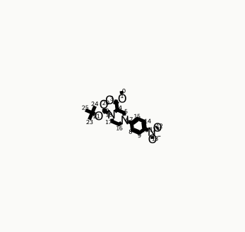 COC(=O)C1CN(c2ccc([N+](=O)[O-])cc2)CCN1C(=O)OC(C)(C)C